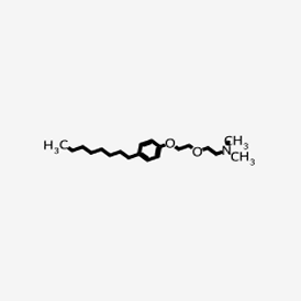 CCCCCCCCc1ccc(OCCOCCN(C)C)cc1